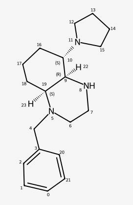 c1ccc(CN2CCN[C@@H]3[C@@H](N4CCCC4)CCC[C@@H]32)cc1